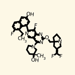 CCc1c(F)ccc2cc(O)cc(-c3ncc4c(N5CCC[C@@](C)(O)C5)nc(OCC56CCCN5CC(=C(F)F)C6)nc4c3F)c12